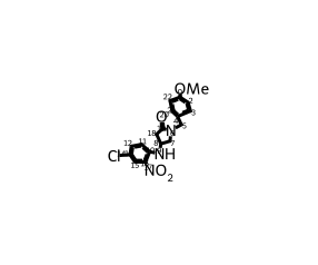 COc1ccc(CN2CC(Nc3ccc(Cl)cc3[N+](=O)[O-])CC2=O)cc1